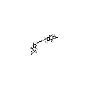 C=C1C[C@H]2C=Nc3cc(OCCCCCOc4cc5c(cc4OC)C(=O)N4CC(=C)C[C@H]4C=N5)c(C)cc3C(=O)N2C1